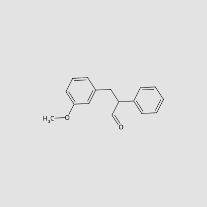 COc1cccc(CC(C=O)c2ccccc2)c1